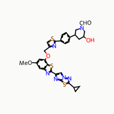 COc1cc(OCc2csc(-c3ccc(C4CC(O)CN(C=O)C4)cc3)n2)c2sc(-c3cn4nc(C5CC5)sc4n3)nc2c1